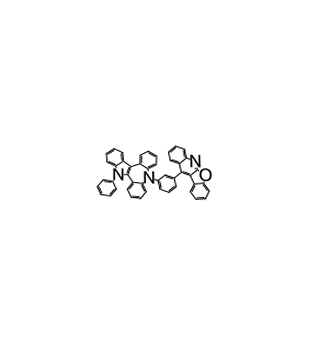 c1ccc(-n2c3c(c4ccccc42)-c2ccccc2N(c2cccc(-c4c5ccccc5nc5oc6ccccc6c45)c2)c2ccccc2-3)cc1